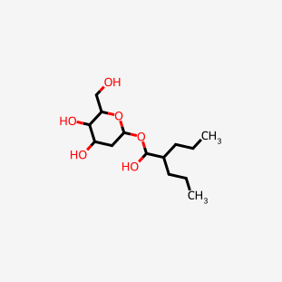 CCCC(CCC)C(O)OC1CC(O)C(O)C(CO)O1